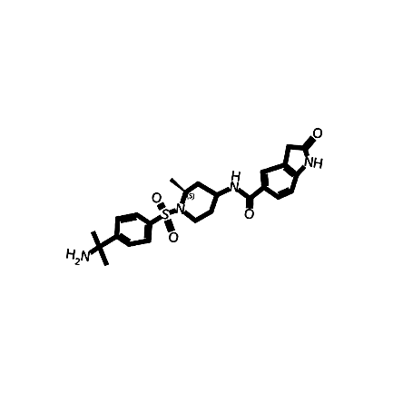 C[C@H]1CC(NC(=O)c2ccc3c(c2)CC(=O)N3)CCN1S(=O)(=O)c1ccc(C(C)(C)N)cc1